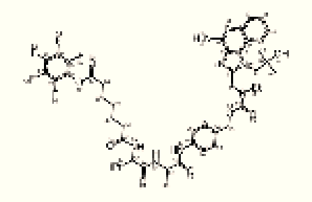 CCN(Cc1nc2c(N)nc3ccccc3c2n1CC(C)(C)O)C(=O)OCc1ccc(NC(=O)C(C)NC(=O)C(NC(=O)CCCCCC(=O)Oc2c(F)c(F)c(F)c(F)c2F)C(C)C)cc1